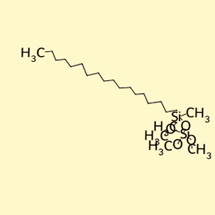 CCCCCCCCCCCCCCCCCC[Si](C)(C)O[Si](OC)(OC)OC